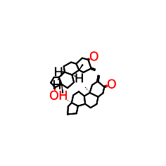 C=C1C[C@@]2(C)C(CCC3C4CCC[C@@]4(C)CCC32)CC1=O.C=C1C[C@@]2(C)C(CC[C@@H]3[C@@H]2CC[C@]2(C)C(O)CC[C@@H]32)CC1=O